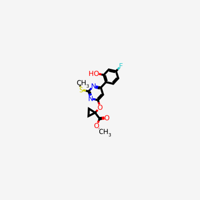 COC(=O)C1(Oc2cc(-c3ccc(F)cc3O)nc(SC)n2)CC1